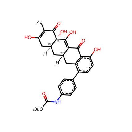 CC(=O)C1=C(O)C[C@@H]2C[C@@H]3Cc4c(-c5ccc(NC(=O)OCC(C)C)cc5)ccc(O)c4C(=O)C3=C(O)[C@]2(O)C1=O